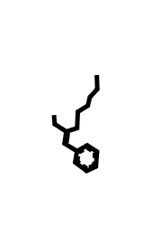 CCCCCCC(=Cc1ccccc1)CC